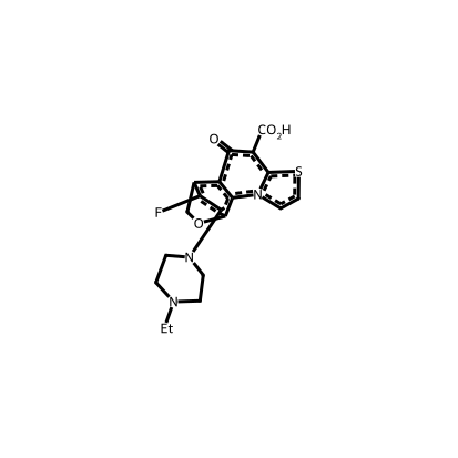 CCN1CCN(c2c(F)c3c4c(=O)c(C(=O)O)c5sccn5c4c2OC3)CC1